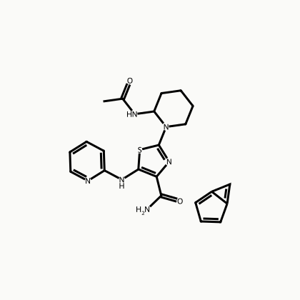 CC(=O)NC1CCCCN1c1nc(C(N)=O)c(Nc2ccccn2)s1.c1cc2cc-2c1